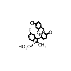 Cc1c(-c2ccc(=O)n(Cc3ccc(Cl)cc3Cl)n2)c2cc(F)ccc2n1CC(=O)O